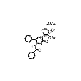 CC(=O)OC[C@H]1O[C@@H](n2cc(-c3ccccc3)c(NC(=O)c3ccccc3)nc2=O)[C@H](OC(C)=O)[C@H]1Br